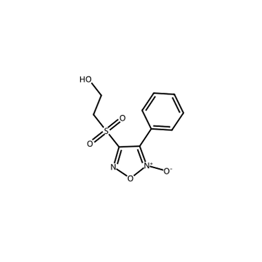 O=S(=O)(CCO)c1no[n+]([O-])c1-c1ccccc1